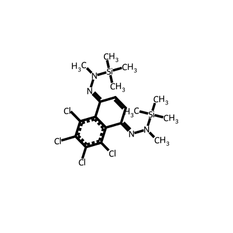 CN(N=C1C=CC(=NN(C)[Si](C)(C)C)c2c(Cl)c(Cl)c(Cl)c(Cl)c21)[Si](C)(C)C